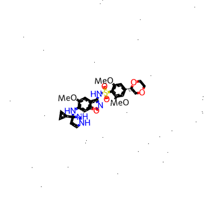 COc1cc2c(NS(=O)(=O)c3c(OC)cc([C@H]4COCCO4)cc3OC)noc2cc1NC1(C2CC2)C=CNN1